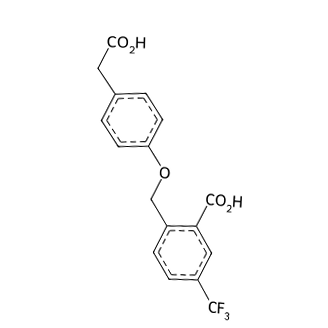 O=C(O)Cc1ccc(OCc2ccc(C(F)(F)F)cc2C(=O)O)cc1